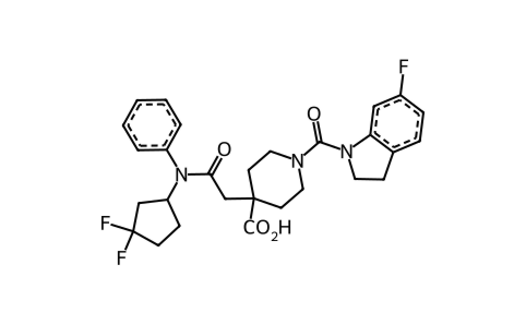 O=C(N1CCC(CC(=O)N(c2ccccc2)C2CCC(F)(F)C2)(C(=O)O)CC1)N1CCc2ccc(F)cc21